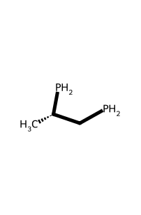 C[C@H](P)CP